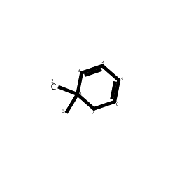 CC1(Cl)C=CC=CC1